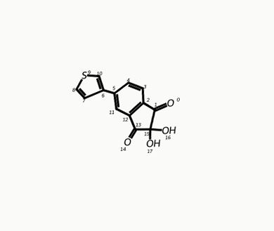 O=C1c2ccc(-c3ccsc3)cc2C(=O)C1(O)O